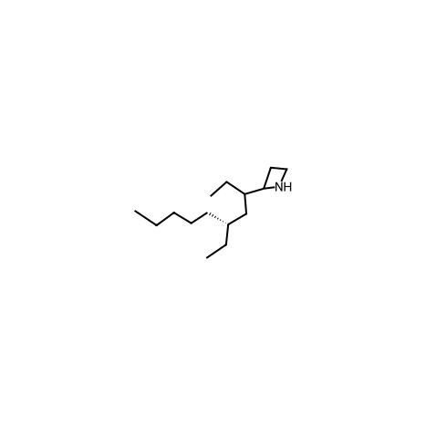 CCCCC[C@@H](CC)CC(CC)C1CCN1